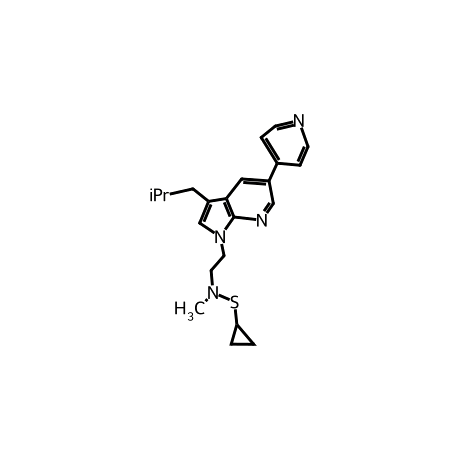 CC(C)Cc1cn(CCN(C)SC2CC2)c2ncc(-c3ccncc3)cc12